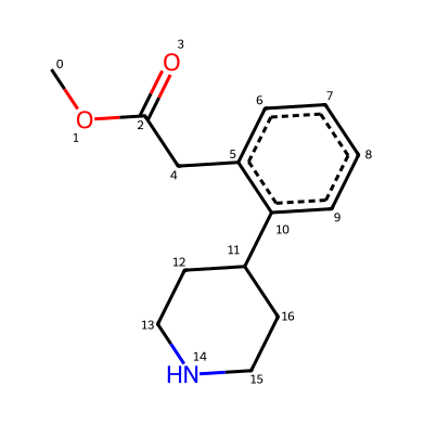 COC(=O)Cc1ccccc1C1CCNCC1